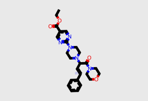 CCOC(=O)c1cnc(N2CCN(C(/C=C/c3ccccc3)C(=O)N3CCOCC3)CC2)nc1